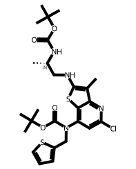 Cc1c(NC[C@H](C)NC(=O)OC(C)(C)C)sc2c(N(Cc3cccs3)C(=O)OC(C)(C)C)cc(Cl)nc12